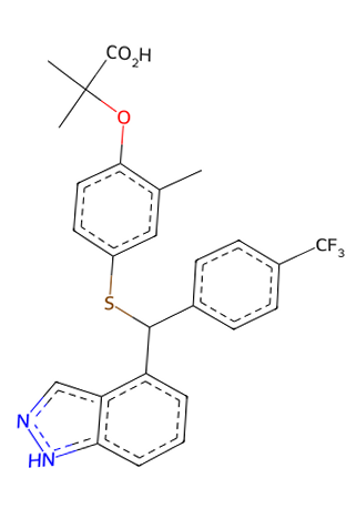 Cc1cc(SC(c2ccc(C(F)(F)F)cc2)c2cccc3[nH]ncc23)ccc1OC(C)(C)C(=O)O